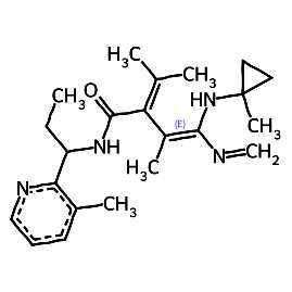 C=N/C(NC1(C)CC1)=C(\C)C(C(=O)NC(CC)c1ncccc1C)=C(C)C